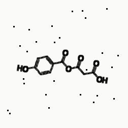 O=C(O)CC(=O)OC(=O)c1ccc(O)cc1